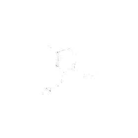 Cc1c[c]c(C=O)c(CN)c1